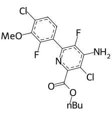 CCCCOC(=O)c1nc(-c2ccc(Cl)c(OC)c2F)c(F)c(N)c1Cl